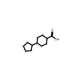 O=C(O)C1CCC(C2CCCC2)CC1